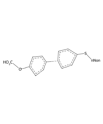 CCCCCCCCCSc1ccc(-c2ccc(OC(=O)O)cc2)cc1